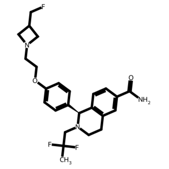 CC(F)(F)CN1CCc2cc(C(N)=O)ccc2[C@@H]1c1ccc(OCCN2CC(CF)C2)cc1